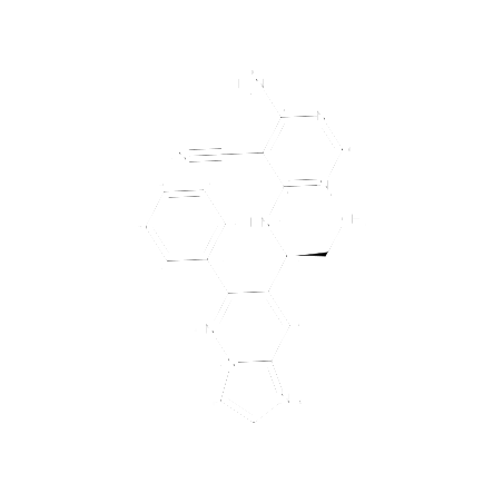 CC[C@H](Nc1ncnc(N)c1C#N)c1cc2nccn2nc1-c1ccccc1